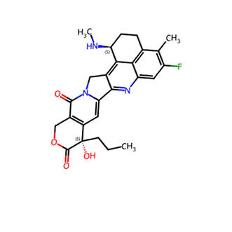 CCC[C@@]1(O)C(=O)OCc2c1cc1n(c2=O)Cc2c-1nc1cc(F)c(C)c3c1c2[C@@H](NC)CC3